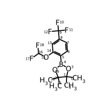 CC1(C)OB(c2ccc(C(F)(F)F)cc2OC(F)F)OC1(C)C